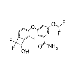 NC(=O)c1cc(OC2=C=C=C3C(=C2I)C(O)C3(F)F)cc(OC(F)F)c1